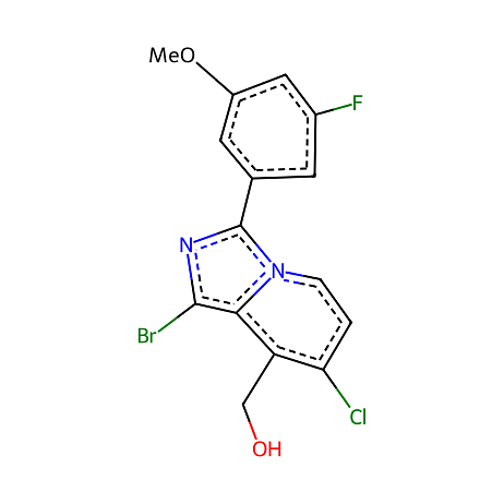 COc1cc(F)cc(-c2nc(Br)c3c(CO)c(Cl)ccn23)c1